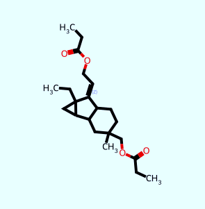 CCC(=O)OC/C=C1/C2CCC(C)(COC(=O)CC)CC2C2CC12CC